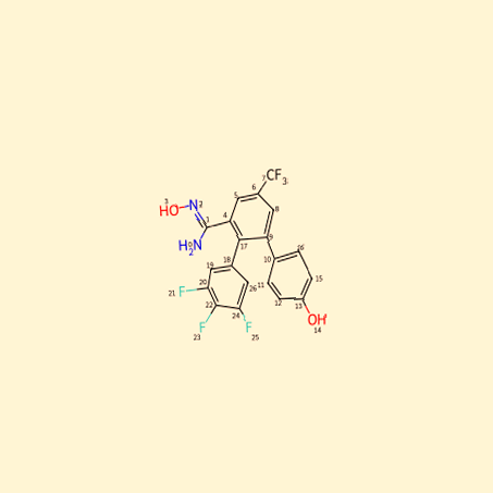 N/C(=N\O)c1cc(C(F)(F)F)cc(-c2ccc(O)cc2)c1-c1cc(F)c(F)c(F)c1